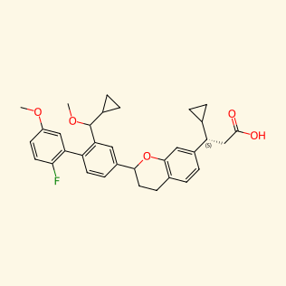 COc1ccc(F)c(-c2ccc(C3CCc4ccc([C@@H](CC(=O)O)C5CC5)cc4O3)cc2C(OC)C2CC2)c1